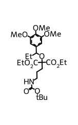 CCOC(=O)C(CCCNC(=O)OC(C)(C)C)(OC(CC)c1cc(OC)c(OC)c(OC)c1)C(=O)OCC